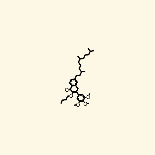 CCCCOC1=C(c2cc(OC)c(OC)c(OC)c2)Cc2cc(CCC(C)CCCC(C)CCCC(C)C)ccc2C1=O